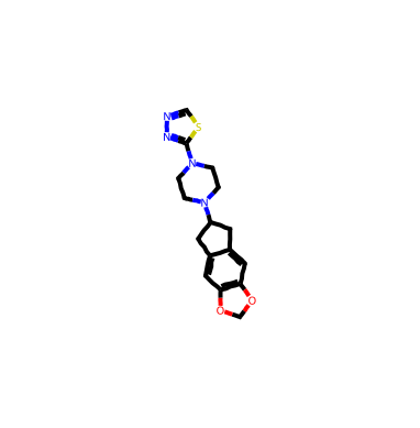 c1nnc(N2CCN(C3Cc4cc5c(cc4C3)OCO5)CC2)s1